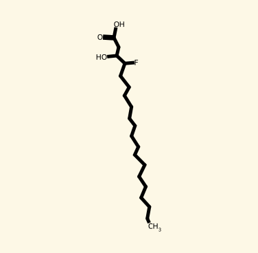 CCCCCCCCCCCCCCCCC(F)C(O)CC(=O)O